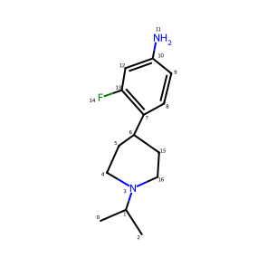 CC(C)N1CCC(c2ccc(N)cc2F)CC1